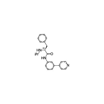 CC(C)N[C@@H](Cc1ccccc1)C(=O)Nc1cccc(-c2ccncc2)c1